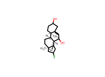 C[C@]12CC[C@@H]3[C@@H](C(O)C=C4CC(O)CC[C@@]43C)[C@@H]1CC(F)C2